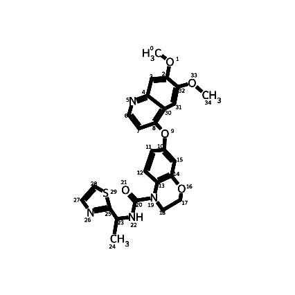 COc1cc2nccc(Oc3ccc4c(c3)OCCN4C(=O)NC(C)c3nccs3)c2cc1OC